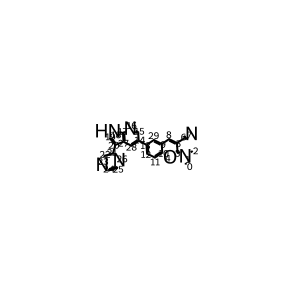 CN(C)C(=O)C(C#N)=Cc1cccc(-c2cnc3[nH]cc(-c4cnccn4)c3c2)c1